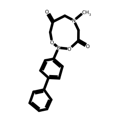 CN1CC(=O)COB(c2ccc(-c3ccccc3)cc2)OC(=O)C1